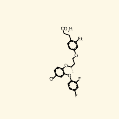 CCc1cc(OCC[C@H](C)Oc2ccc(Cl)cc2Oc2ccc(F)cc2F)ccc1CCC(=O)O